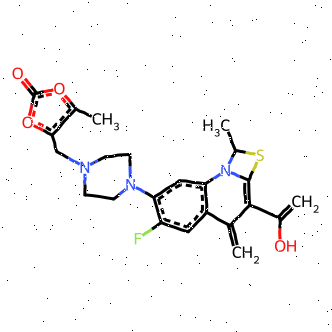 C=C(O)C1=C2SC(C)N2c2cc(N3CCN(Cc4oc(=O)oc4C)CC3)c(F)cc2C1=C